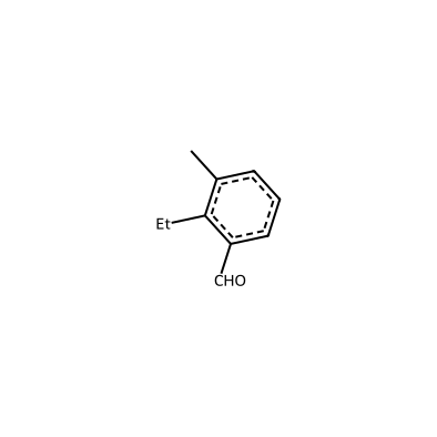 CCc1c(C)cccc1C=O